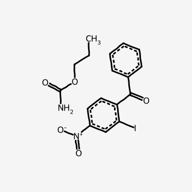 CCCOC(N)=O.O=C(c1ccccc1)c1ccc([N+](=O)[O-])cc1I